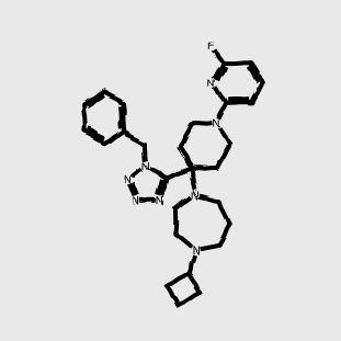 Fc1cccc(N2CCC(c3nnnn3Cc3ccccc3)(N3CCCN(C4CCC4)CC3)CC2)n1